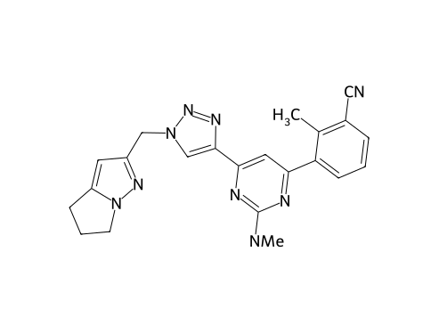 CNc1nc(-c2cn(Cc3cc4n(n3)CCC4)nn2)cc(-c2cccc(C#N)c2C)n1